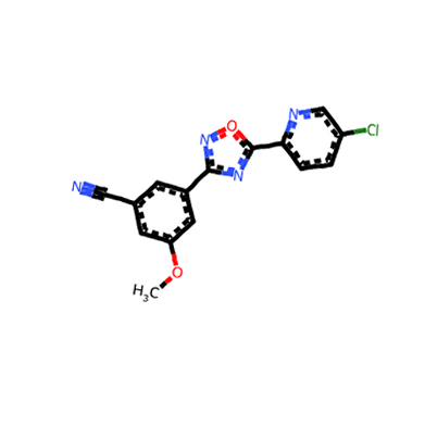 COc1cc(C#N)cc(-c2noc(-c3ccc(Cl)cn3)n2)c1